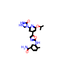 Cc1ccc(C(N)=O)cc1Nc1ncc(-c2cc(OC(C)C)nc(N3CNNC3=O)c2)o1